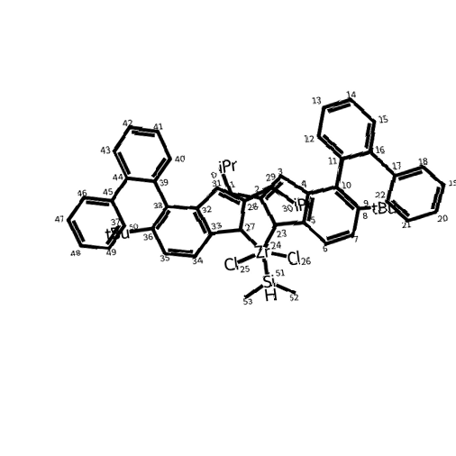 CC(C)CC1=Cc2c(ccc(C(C)(C)C)c2-c2ccccc2-c2ccccc2)[CH]1[Zr]([Cl])([Cl])([CH]1C(CC(C)C)=Cc2c1ccc(C(C)(C)C)c2-c1ccccc1-c1ccccc1)[SiH](C)C